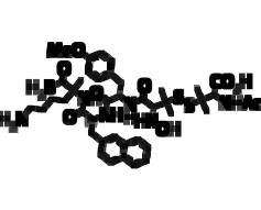 BC(=O)C(C)(CCCCN)NC(=O)[C@H](Cc1ccc2ccccc2c1)NC(=O)C(Cc1ccc(OC)cc1)NC(=O)C(NO)C(C)(C)SSC(C)(C)C(NC(C)=O)C(=O)O